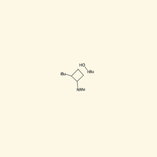 CCC(C)C1CCC1NC.CCCCO